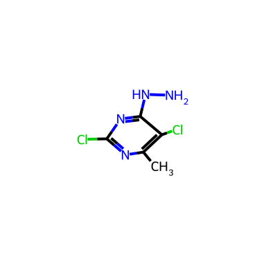 Cc1nc(Cl)nc(NN)c1Cl